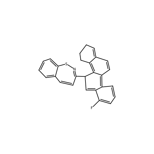 Fc1cccc2c1=CC(C1=NSc3ccccc3C=C1)c1c3c(ccc1=2)=CCCC3